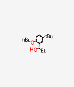 CCCCOc1ccc(C(C)(C)C)cc1C(O)CC